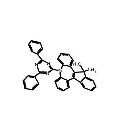 CC1(C)C2=C(c3ccccc3N(c3nc(-c4ccccc4)nc(-c4ccccc4)n3)c3ccccc32)c2ccccc21